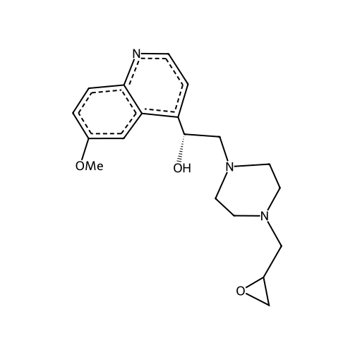 COc1ccc2nccc([C@@H](O)CN3CCN(CC4CO4)CC3)c2c1